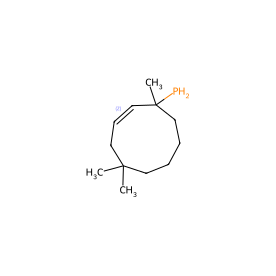 CC1(P)/C=C\CC(C)(C)CCCC1